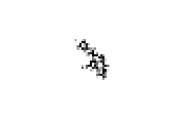 CC1c2nnc(C3CC4(C3)CN(c3ccc(F)cn3)C4)n2-c2ccc(Cl)cc2CN1C(=O)C(F)F